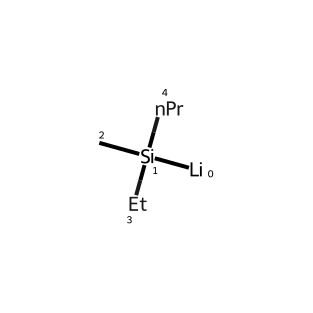 [Li][Si](C)(CC)CCC